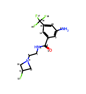 Nc1cc(C(=O)NCCN2CC(F)C2)cc(C(F)(F)F)c1